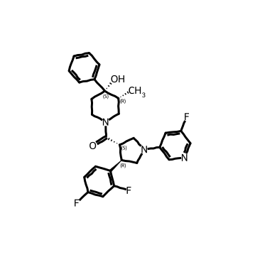 C[C@@H]1CN(C(=O)[C@@H]2CN(c3cncc(F)c3)C[C@H]2c2ccc(F)cc2F)CC[C@@]1(O)c1ccccc1